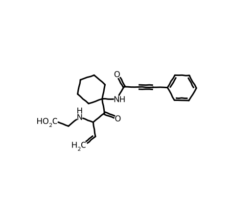 C=CC(NCC(=O)O)C(=O)C1(NC(=O)C#Cc2ccccc2)CCCCC1